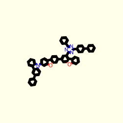 c1ccc(-c2ccc(-c3nc(-c4ccccc4)nc(-c4cc(-c5ccc6c(c5)oc5cc(-n7c8ccccc8c8cc(-c9ccccc9)ccc87)ccc56)cc5oc6ccccc6c45)n3)cc2)cc1